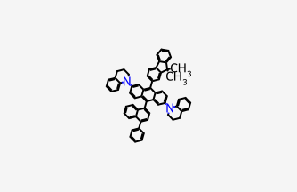 CC1(C)c2ccccc2-c2ccc(-c3c4cc(N5CCCc6ccccc65)ccc4c(-c4ccc(-c5ccccc5)c5ccccc45)c4cc(N5CCCc6ccccc65)ccc34)cc21